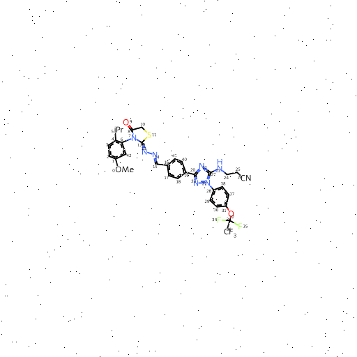 COc1ccc(C(C)C)c(N2C(=O)CS/C2=N\N=C\c2ccc(-c3nc(NCCC#N)n(-c4ccc(OC(F)(F)C(F)(F)F)cc4)n3)cc2)c1